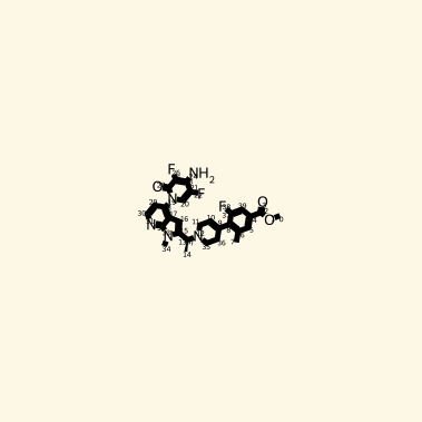 COC(=O)c1cc(C)c(C2=CCN([C@@H](C)c3cc4c(-n5cc(F)c(N)c(F)c5=O)ccnc4n3C)CC2)c(F)c1